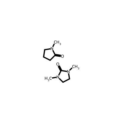 CN1CCCC1=O.CN1CCN(C)C1=O